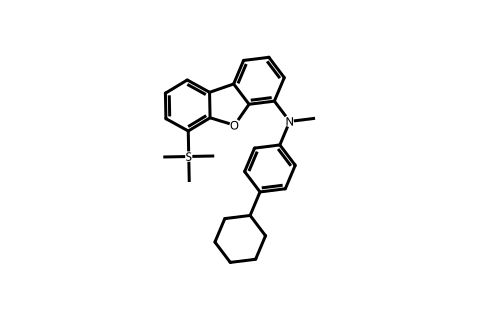 CN(c1ccc(C2CCCCC2)cc1)c1cccc2c1oc1c(S(C)(C)C)cccc12